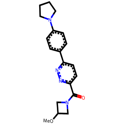 COC1CN(C(=O)c2ccc(-c3ccc(N4CCCC4)cc3)nn2)C1